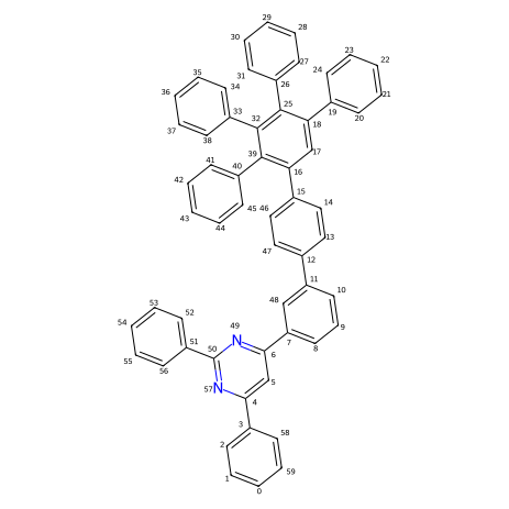 c1ccc(-c2cc(-c3cccc(-c4ccc(-c5cc(-c6ccccc6)c(-c6ccccc6)c(-c6ccccc6)c5-c5ccccc5)cc4)c3)nc(-c3ccccc3)n2)cc1